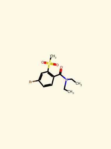 CCN(CC)C(=O)c1ccc(Br)cc1S(C)(=O)=O